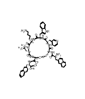 CC(C)C[C@@H]1NC(=O)[C@H](CCCCN)NC(=O)[C@@H](Cc2c[nH]c3ccccc23)NC(=O)[C@H](Cc2cccnc2)NC(=O)[C@H](NC(=O)[C@@H](N)Cc2ccc3ccccc3c2)CSSC[C@@H](C(=O)N[C@@H](Cc2ccc3ccccc3c2)C(=O)O)NC1=O